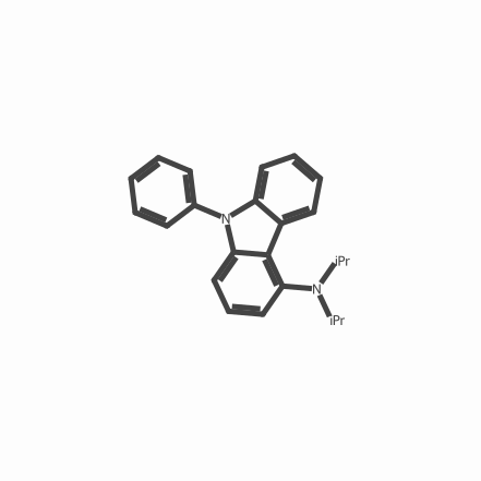 CC(C)N(c1cccc2c1c1ccccc1n2-c1ccccc1)C(C)C